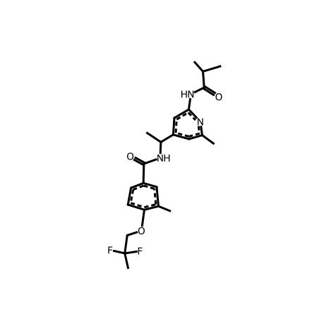 Cc1cc(C(C)NC(=O)c2ccc(OCC(C)(F)F)c(C)c2)cc(NC(=O)C(C)C)n1